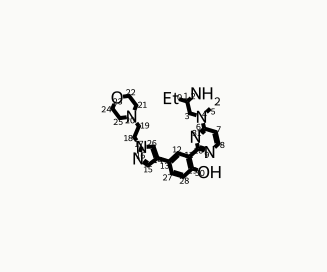 CCC(N)CN(C)c1ccnc(-c2cc(-c3cnn(CCN4CCOCC4)c3)ccc2O)n1